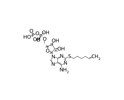 C=CCCCCSc1nc(N)c2ncn([C@@H]3O[C@H](COP(=O)(O)OP(=O)(O)O)[C@@H](O)[C@H]3O)c2n1